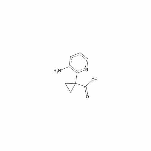 Nc1cccnc1C1(C(=O)O)CC1